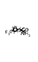 CC(C)(Cc1ccc(C(F)(F)F)cn1)C(N)=O